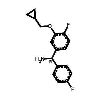 N[C@H](c1ccc(F)cc1)c1ccc(F)c(OCC2CC2)c1